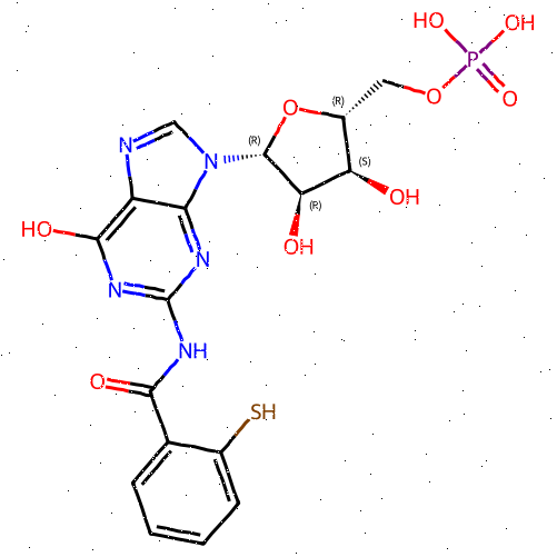 O=C(Nc1nc(O)c2ncn([C@@H]3O[C@H](COP(=O)(O)O)[C@@H](O)[C@H]3O)c2n1)c1ccccc1S